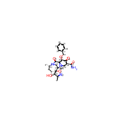 CC1=NO[C@@]2(CC[C@H](C)N3C[C@H]2n2cc(C(N)=O)c(=O)c(OCc4ccccc4)c2C3=O)[C@H]1O